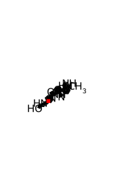 CNc1cccc(-c2cccc(NC(=O)c3ccc(CNCCO)cn3)c2C#N)c1C=N